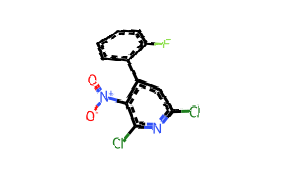 O=[N+]([O-])c1c(-c2ccccc2F)cc(Cl)nc1Cl